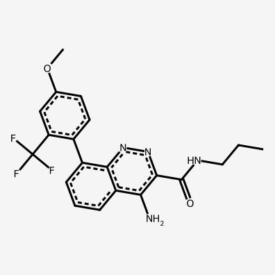 CCCNC(=O)c1nnc2c(-c3ccc(OC)cc3C(F)(F)F)cccc2c1N